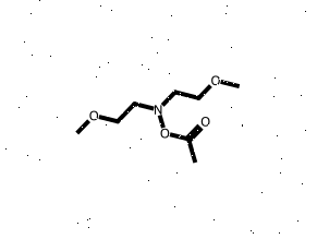 COCCN(CCOC)OC(C)=O